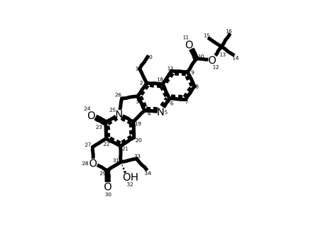 CCc1c2c(nc3ccc(C(=O)OC(C)(C)C)cc13)-c1cc3c(c(=O)n1C2)COC(=O)[C@]3(O)CC